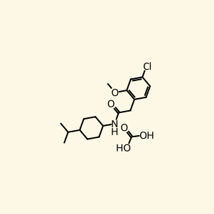 COc1cc(Cl)ccc1CC(=O)NC1CCC(C(C)C)CC1.O=C(O)O